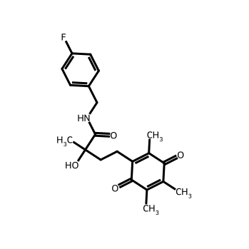 CC1=C(C)C(=O)C(CCC(C)(O)C(=O)NCc2ccc(F)cc2)=C(C)C1=O